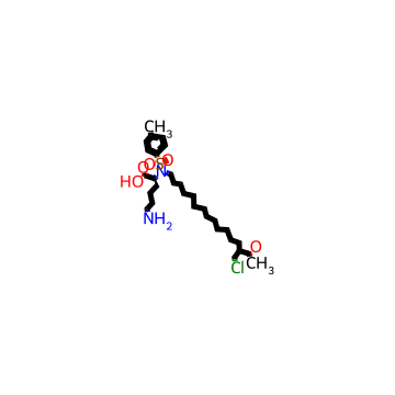 CC(=O)C(CCl)CCCCCCCCCCCCCN([C@@H](CCCCN)C(=O)O)S(=O)(=O)c1ccc(C)cc1